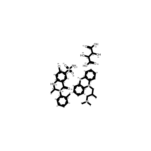 CC(CN(C)C)CN1c2ccccc2Sc2ccccc21.Cc1ccccc1N1C(=O)c2cc(S(N)(=O)=O)c(Cl)cc2NC1C.O=C(O)C(O)C(O)C(=O)O